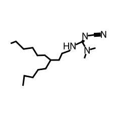 CCCCCCC(CCCCC)CCCN/C(=N/C#N)N(C)C